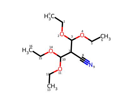 CCOC(OCC)C(C#N)C(OCC)OCC